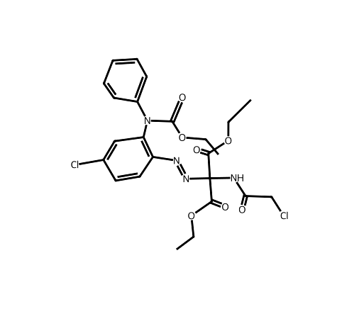 CCOC(=O)N(c1ccccc1)c1cc(Cl)ccc1N=NC(NC(=O)CCl)(C(=O)OCC)C(=O)OCC